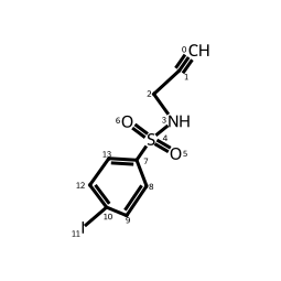 C#CCNS(=O)(=O)c1ccc(I)cc1